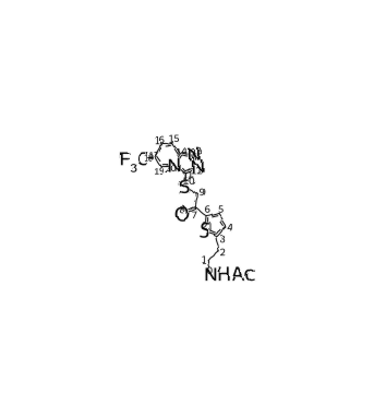 CC(=O)NCCc1ccc(C(=O)CSc2nnc3ccc(C(F)(F)F)cn23)s1